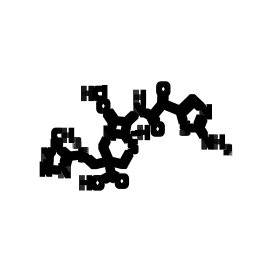 Cl.Cn1nnnc1SCC1(C(=O)O)CS[C@@H]2C(NC(=O)C(=O)c3cnc(N)s3)C(=O)N2C1